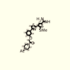 CSc1sc(C(=N)N)cc1-c1nc(-c2cccc(OCC(=O)N3CCN(C(C)=O)CC3)c2)cs1